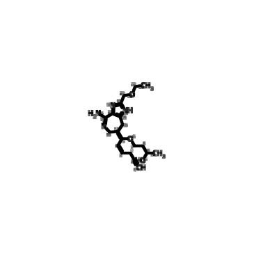 C#CC/C=C\C(OCCC(C)O)=C1/CN=C(N)c2nc(COCC)[nH]c2C1